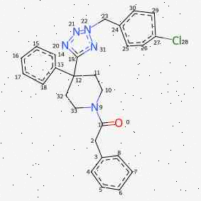 O=C(Cc1ccccc1)N1CCC(c2ccccc2)(c2nnn(Cc3ccc(Cl)cc3)n2)CC1